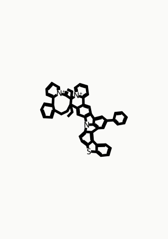 C=C1[n+]2ccccc2-c2ccccc2CCC2(CC)c3cc4c(cc3-c3cccc[n+]3C12CC)c1cc(-c2ccccc2)cc2c3c5c(ccc3n4c12)sc1ccccc15